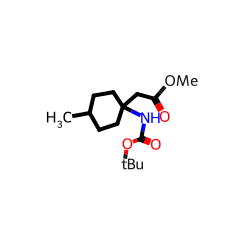 COC(=O)CC1(NC(=O)OC(C)(C)C)CCC(C)CC1